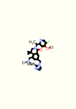 CCOc1cc(C(C)N2CC3(CC3)c3c(CN(CC)CC)cc(Cn4ccnc4NC)cc3C2=O)ncc1F